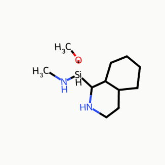 CN[SiH](OC)C1NCCC2CCCCC21